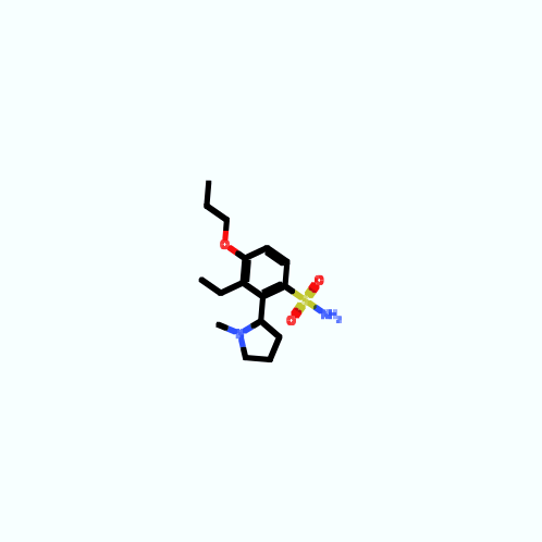 CCCOc1ccc(S(N)(=O)=O)c(C2CCCN2C)c1CC